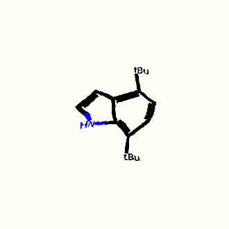 CC(C)(C)c1ccc(C(C)(C)C)c2[nH]ccc12